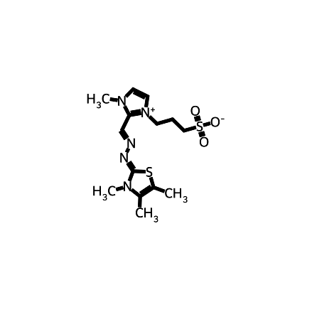 Cc1s/c(=N\N=C\c2n(C)cc[n+]2CCCS(=O)(=O)[O-])n(C)c1C